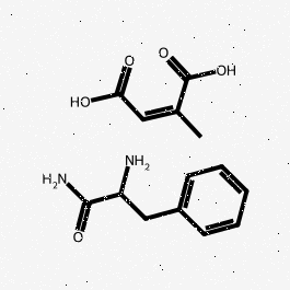 C/C(=C/C(=O)O)C(=O)O.NC(=O)C(N)Cc1ccccc1